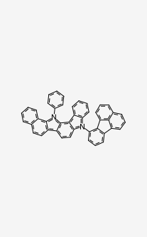 c1ccc(-n2c3c4ccccc4ccc3c3ccc4c(c5ccccc5n4-c4cccc5c4-c4cccc6cccc-5c46)c32)cc1